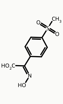 CS(=O)(=O)c1ccc(C(=NO)C(=O)O)cc1